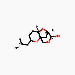 C[C@@H](C#N)CC1CC[C@@H]2O[C@@H]3CC2(CO[C@H]3O)O1